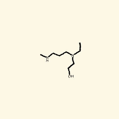 CCN(CCO)CCCNC